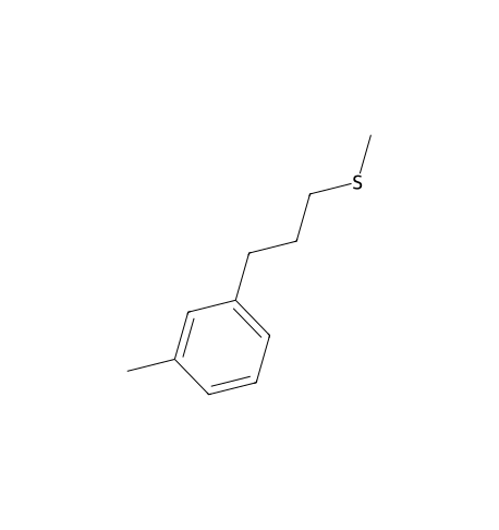 CSCCCc1cccc(C)c1